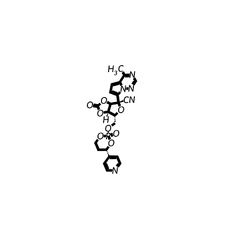 Cc1ncnn2c([C@]3(C#N)O[C@H](CO[P@@]4(=O)OCC[C@@H](c5ccncc5)O4)[C@H]4OC(=O)OC43)ccc12